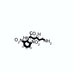 NCCCC[C@H](Nc1c([N+](=O)[O-])cccc1[N+](=O)[O-])C(=O)O